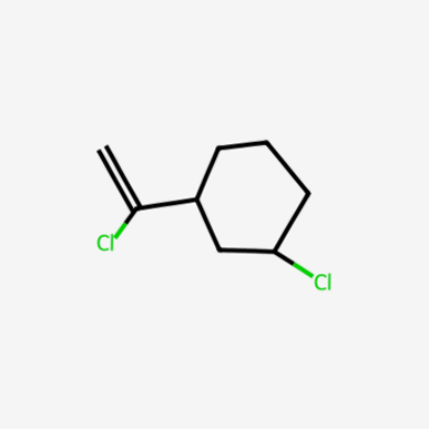 C=C(Cl)C1CCCC(Cl)C1